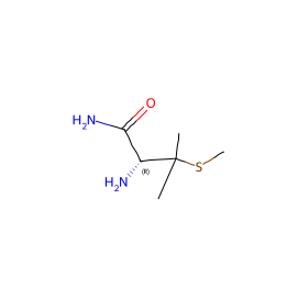 CSC(C)(C)[C@H](N)C(N)=O